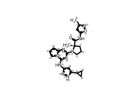 Cc1cc(NC(=O)[C@]2(C)CCCN2c2nc(Nc3cc(C4CC4)[nH]n3)n3cccc3n2)on1